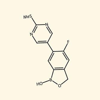 CSc1ncc(-c2cc3c(cc2F)COB3O)cn1